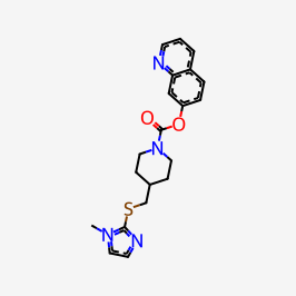 Cn1ccnc1SCC1CCN(C(=O)Oc2ccc3cccnc3c2)CC1